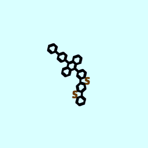 c1ccc(-c2ccc(-c3c4ccccc4c(-c4ccc5sc6cc7c(cc6c5c4)sc4ccccc47)c4ccccc34)cc2)cc1